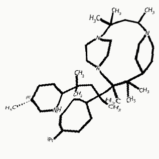 CC(C)C1CCC(C(C)(CC(C)(C)C2CC[C@@H](C)CN2)C2(C)N3CCN(CC3)C(C)(C)CC(C)N3CCC(CC3)C2(C)C)CC1